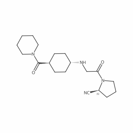 N#C[C@@H]1CCCN1C(=O)CN[C@H]1CC[C@H](C(=O)N2CCCCC2)CC1